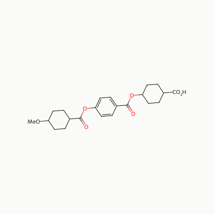 COC1CCC(C(=O)Oc2ccc(C(=O)OC3CCC(C(=O)O)CC3)cc2)CC1